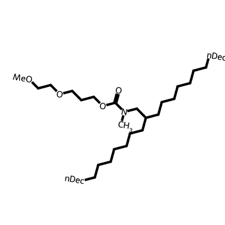 CCCCCCCCCCCCCCCCCC(CCCCCCCCCCCCCCCCC)CN(C)C(=O)OCCCOCCOC